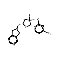 Nc1ccn([C@@H]2O[C@H](CN3Cc4ccncc4C3)CC2(F)F)c(=O)n1